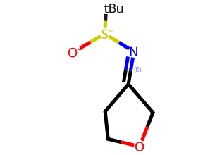 CC(C)(C)[S+]([O-])/N=C1\CCOC1